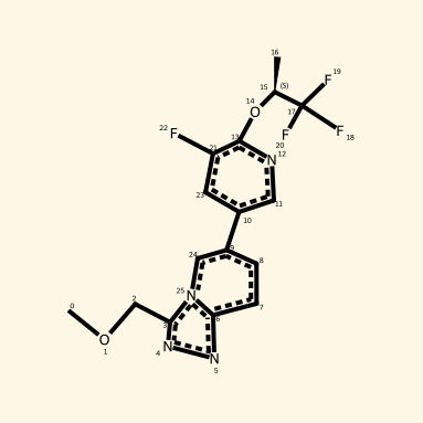 COCc1nnc2ccc(-c3cnc(O[C@@H](C)C(F)(F)F)c(F)c3)cn12